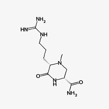 CN1C[C@H](C(N)=O)NC(=O)[C@@H]1CCCNC(=N)N